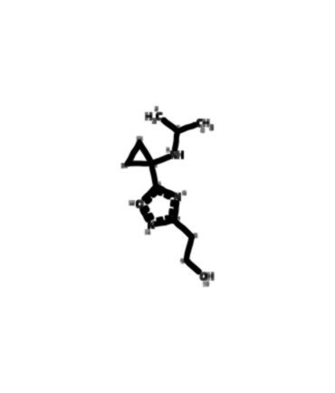 CC(C)NC1(c2nc(CCO)no2)CC1